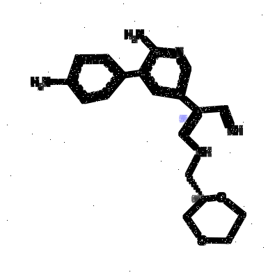 N=C/C(=C\NC[C@H]1COCCO1)c1cnc(N)c(-c2ccc(N)cc2)c1